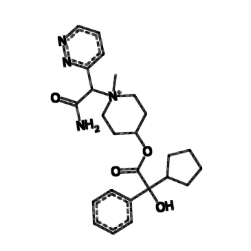 C[N+]1(C(C(N)=O)c2cccnn2)CCC(OC(=O)C(O)(c2ccccc2)C2CCCC2)CC1